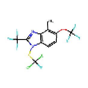 Cc1c(OC(F)(F)F)ccc2c1nc(C(F)(F)F)n2SC(F)(Cl)Cl